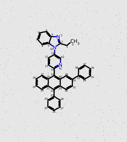 CCc1nc2ccccc2n1-c1ccc(-c2c3ccccc3c(-c3ccccc3)c3ccc(-c4ccccc4)cc23)nc1